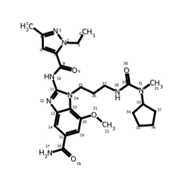 CCn1nc(C)cc1C(=O)Nc1nc2cc(C(N)=O)cc(OC)c2n1CCCNC(=O)N(C)C1CCCC1